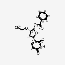 O=C(O[C@H]1O[C@@H](n2ccc(=O)[nH]c2=O)C[C@@H]1OCCl)c1ccccc1